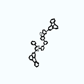 c1ccc(-c2cc(-c3cc4c5c(cccc5c3)-c3ccccc3-4)nc(-c3cccc(-c4cccc(-c5ccc6oc7ccc(-c8cc9c%10c(cccc%10c8)-c8ccccc8-9)cc7c6c5)c4)c3)n2)cc1